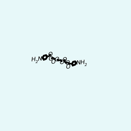 Nc1ccc(C(=O)OCC(=O)OCCOC(=O)COC(=O)c2ccc(N)cc2)cc1